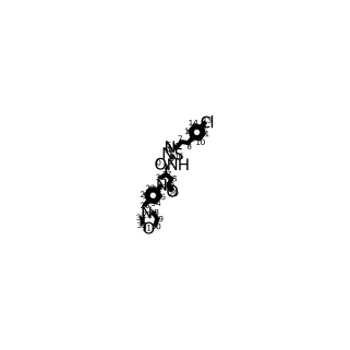 O=C(Nc1nnc(CCc2ccc(Cl)cc2)s1)[C@H]1CC(=O)N(c2ccc(CN3CCCOCC3)cc2)C1